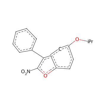 CC(C)Oc1ccc2oc([N+](=O)[O-])c(-c3ccccc3)c2c1